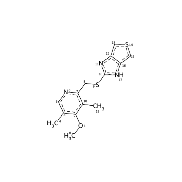 COc1c(C)cnc(CSc2nc3cscc3[nH]2)c1C